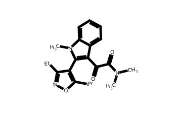 CCc1noc(C(C)C)c1-c1c(C(=O)C(=O)N(C)C)c2ccccc2n1C